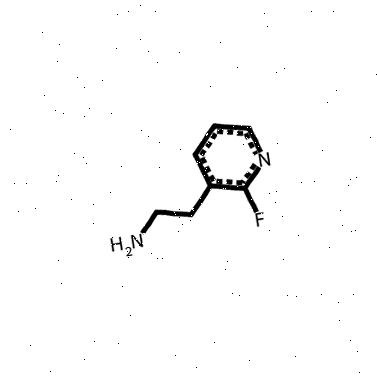 NCCc1cccnc1F